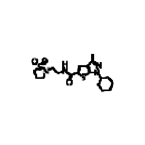 Cc1nn(C2CCCCC2)c2sc(C(=O)NCCN3CCCS3(=O)=O)cc12